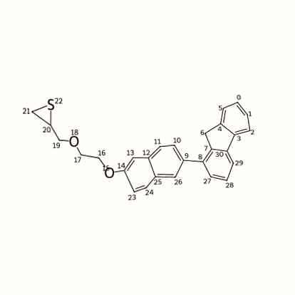 c1ccc2c(c1)Cc1c(-c3ccc4cc(OCCOCC5CS5)ccc4c3)cccc1-2